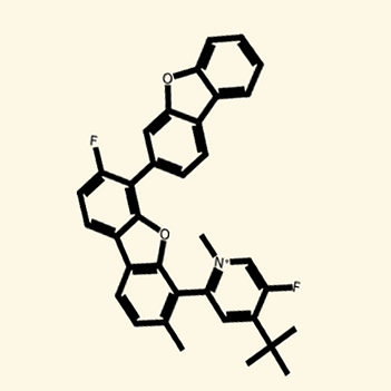 Cc1ccc2c(oc3c(-c4ccc5c(c4)oc4ccccc45)c(F)ccc32)c1-c1cc(C(C)(C)C)c(F)c[n+]1C